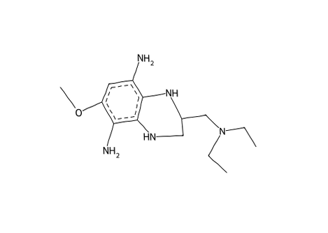 CCN(CC)CC1CNc2c(N)c(OC)cc(N)c2N1